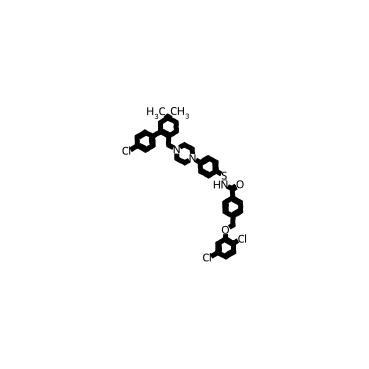 CC1(C)CCC(CN2CCN(c3ccc(SNC(=O)c4ccc(COc5cc(Cl)ccc5Cl)cc4)cc3)CC2)=C(c2ccc(Cl)cc2)C1